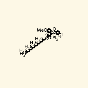 COc1ccc2c(c1)c(C(C)C(=O)OC/C=C(\C)CC/C=C(\C)CC/C=C(\C)CCC=C(C)C)c(C)n2C(=O)c1ccc(Cl)cc1